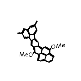 COc1cc2c3cc4c(cc3c(OC)c3ccc5cccc1c5c32)-c1cc(C)cc2cc(C)cc-4c12